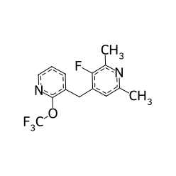 Cc1cc(Cc2cccnc2OC(F)(F)F)c(F)c(C)n1